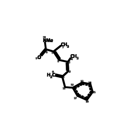 C=C(/C=C(C)\C=C(/C)C(=O)NC)Cc1ccccc1